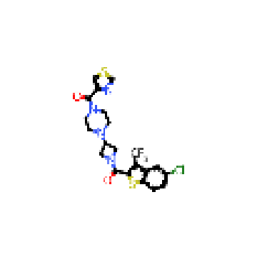 O=C(c1cscn1)N1CCN(C2CN(C(=O)c3sc4ccc(Cl)cc4c3C(F)(F)F)C2)CC1